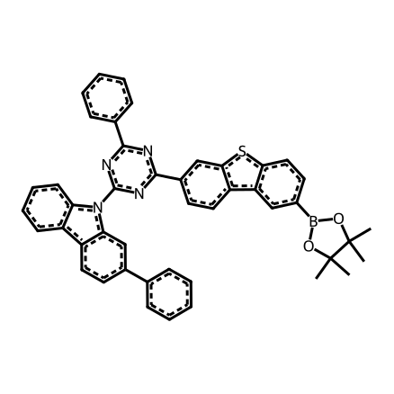 CC1(C)OB(c2ccc3sc4cc(-c5nc(-c6ccccc6)nc(-n6c7ccccc7c7ccc(-c8ccccc8)cc76)n5)ccc4c3c2)OC1(C)C